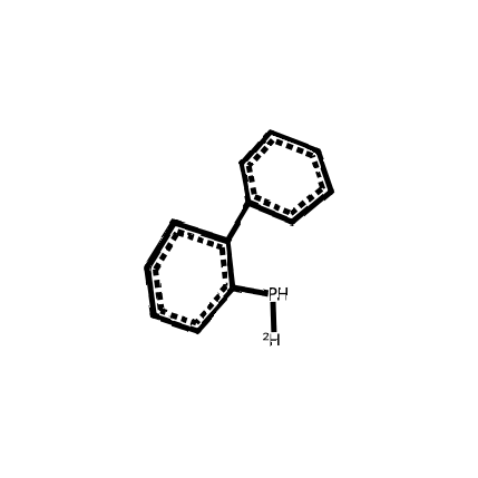 [2H]Pc1ccccc1-c1ccccc1